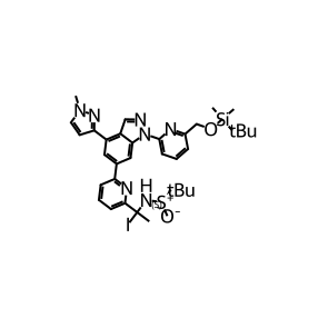 Cn1ccc(-c2cc(-c3cccc(C(C)(I)N[S@+]([O-])C(C)(C)C)n3)cc3c2cnn3-c2cccc(CO[Si](C)(C)C(C)(C)C)n2)n1